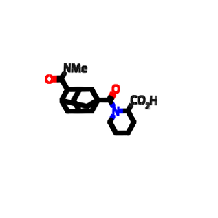 CNC(=O)C1C2CC3CC1CC(C(=O)N1CCCCC1C(=O)O)(C3)C2